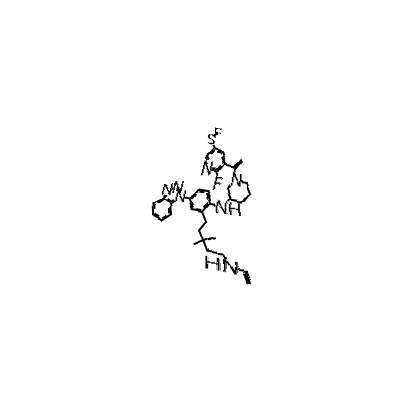 C=CNCCC(C)(C)CCc1cc(-n2nnc3ccccc32)ccc1NC1CCCN(C(=C)c2cc(SF)cnc2F)C1